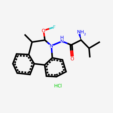 CC1c2ccccc2-c2ccccc2N(NC(=O)[C@@H](N)C(C)C)C1OF.Cl